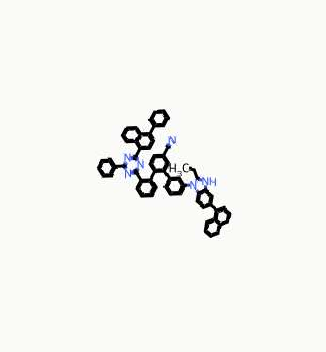 CCC1Nc2cc(-c3cccc4ccccc34)ccc2N1c1cccc(-c2cc(C#N)ccc2-c2ccccc2-c2nc(-c3ccccc3)nc(-c3ccc(-c4ccccc4)c4ccccc34)n2)c1